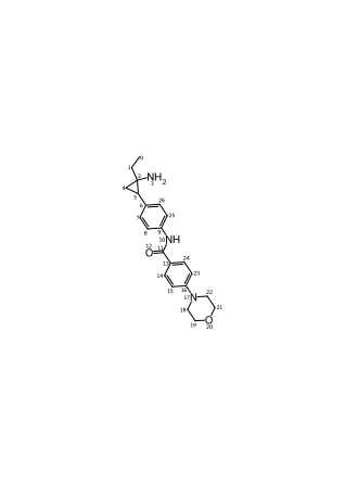 CCC1(N)CC1c1ccc(NC(=O)c2ccc(N3CCOCC3)cc2)cc1